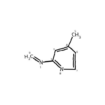 C=Nc1cc(C)ccn1